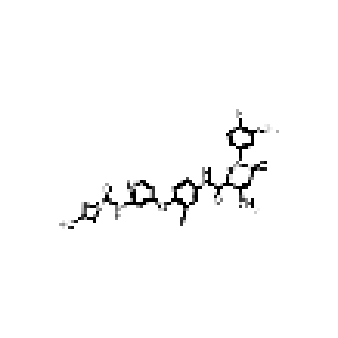 Cc1cc(-n2nc(C(=O)Nc3ccc(Oc4ccnc(NC(=O)N5CC(O)C5)c4)c(F)c3)c(C)cc2=O)ccc1F